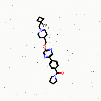 O=C(c1ccc(-c2cnc(OCC3CCN(CC4(C(F)(F)F)CCC4)CC3)cn2)cc1)N1CCCC1